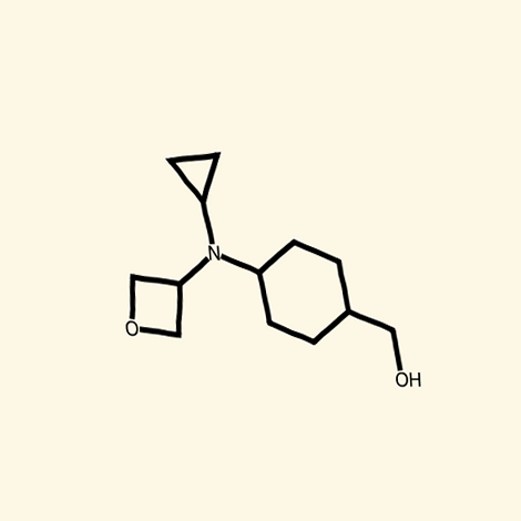 OCC1CCC(N(C2CC2)C2COC2)CC1